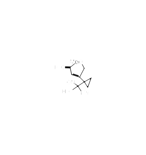 C=C(Br)/C=C(\COC)C1(C(C)(CCC)N=O)CC1